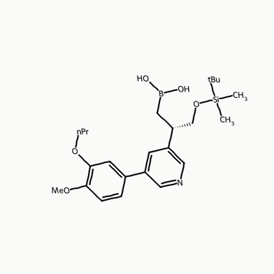 CCCOc1cc(-c2cncc([C@@H](CO[Si](C)(C)C(C)(C)C)CB(O)O)c2)ccc1OC